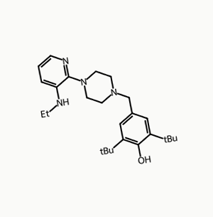 CCNc1cccnc1N1CCN(Cc2cc(C(C)(C)C)c(O)c(C(C)(C)C)c2)CC1